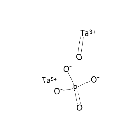 O=P([O-])([O-])[O-].[O]=[Ta+3].[Ta+5]